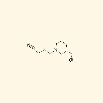 N#CCCCN1CCCC(CO)C1